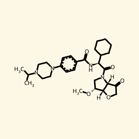 CO[C@@H]1CN(C(=O)[C@@H](NC(=O)c2ccc(N3CCN(C(C)C)CC3)cc2)C2CCCCC2)[C@@H]2C(=O)CO[C@@H]21